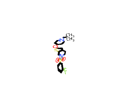 CC(C)CN1CCC(Oc2cc3c(s2)CN(S(=O)(=O)c2cccc(F)c2)CC3)CC1